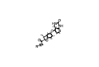 C[C@H]1c2cc(Oc3ccnc4c3CNC(=O)N4)ccc2O[C@H]1C(=O)N=[N+]=[N-]